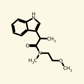 COCCN(C)C(=O)C(C)c1c[nH]c2ccccc12